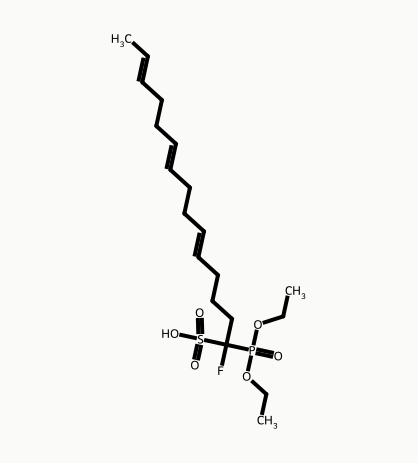 CC=CCC/C=C/CC/C=C/CCCC(F)(P(=O)(OCC)OCC)S(=O)(=O)O